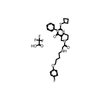 O=C(CNCCCCOc1ccc(F)cc1)N1CCc2nc(SC3CCC3)n(-c3ccccc3)c(=O)c2C1.O=C(O)C(F)(F)F